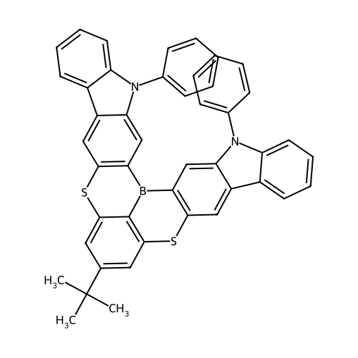 CC(C)(C)c1cc2c3c(c1)Sc1cc4c5ccccc5n(-c5ccccc5)c4cc1B3c1cc3c(cc1S2)c1ccccc1n3-c1ccccc1